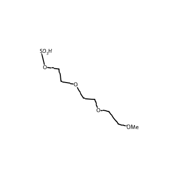 COCCOCCOCCOS(=O)(=O)O